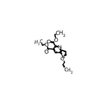 C=CCOn1ccc2nc(C(=O)OCC)c(C(=O)OCC)cc21